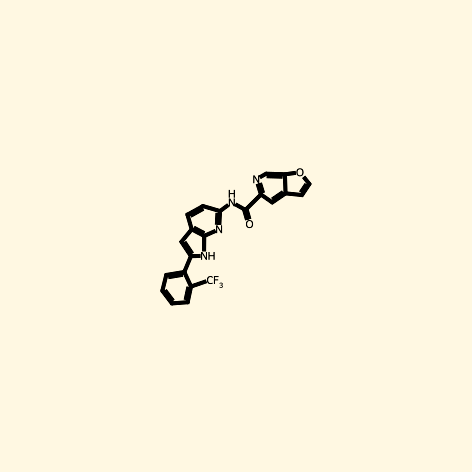 O=C(Nc1ccc2cc(-c3ccccc3C(F)(F)F)[nH]c2n1)c1cc2ccoc2cn1